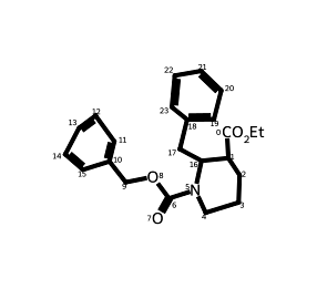 CCOC(=O)C1CCCN(C(=O)OCc2ccccc2)C1Cc1ccccc1